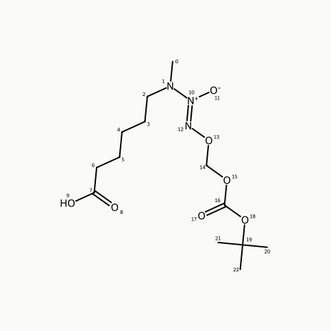 CN(CCCCCC(=O)O)[N+]([O-])=NOCOC(=O)OC(C)(C)C